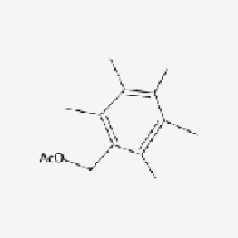 CC(=O)OCc1c(C)c(C)c(C)c(C)c1C